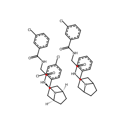 O=C(CNC(=O)c1cccc(Cl)c1)NC1CC2CCC(C1)N2Cc1ccccc1.O=C(CNC(=O)c1cccc(Cl)c1)N[C@H]1C[C@H]2CC[C@@H](C1)N2Cc1ccc(Cl)cc1Cl